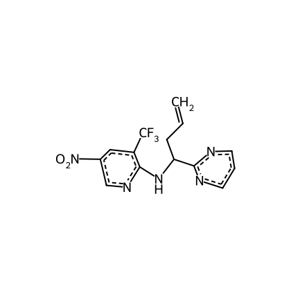 C=CCC(Nc1ncc([N+](=O)[O-])cc1C(F)(F)F)c1ncccn1